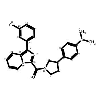 CN(C)c1ccc(C2CCN(C(=O)c3nc(-c4cccc(Cl)c4)c4ccccn34)C2)cc1